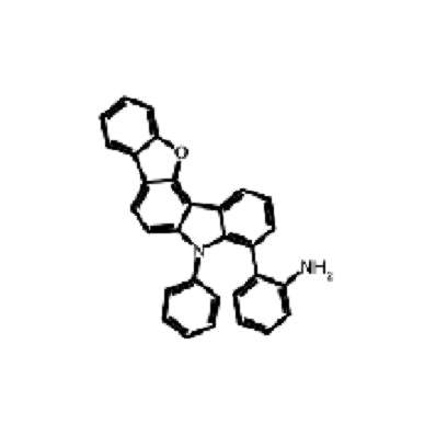 Nc1ccccc1-c1cccc2c3c4oc5ccccc5c4ccc3n(-c3ccccc3)c12